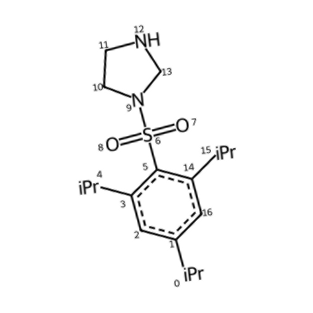 CC(C)c1cc(C(C)C)c(S(=O)(=O)N2CCNC2)c(C(C)C)c1